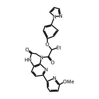 CCC(Oc1ccc(-n2cccn2)cc1)C(=O)N1CC(=O)Nc2ccc(-c3cccc(OC)n3)nc21